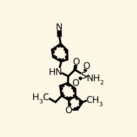 CCc1cc(C(Nc2ccc(C#N)cc2)C(=O)S(N)(=O)=O)cc2c(C)coc12